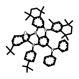 Cc1cc2c(cc1N1c3cc4c(cc3B3c5oc6ccc(C(C)(C)C)cc6c5N(c5ccc(C(C)(C)C)cc5)c5cc(N(c6ccccc6)c6ccccc6)cc1c53)C(C)(C)CCC4(C)C)C(C)(C)CCC2(C)C